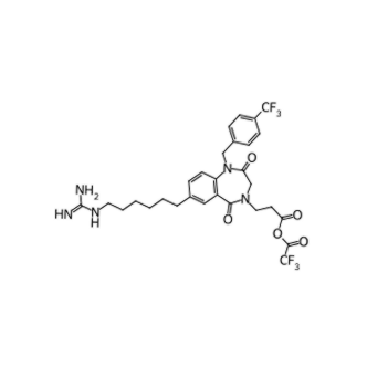 N=C(N)NCCCCCCc1ccc2c(c1)C(=O)N(CCC(=O)OC(=O)C(F)(F)F)CC(=O)N2Cc1ccc(C(F)(F)F)cc1